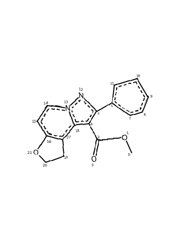 COC(=O)c1c(-c2ccccc2)nn2ccc3c(c12)CCO3